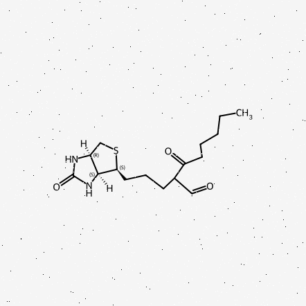 CCCCCC(=O)C([C]=O)CCC[C@@H]1SC[C@@H]2NC(=O)N[C@@H]21